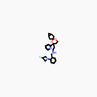 FC1CN(c2ccccc2CNCCC2(c3ccccn3)CCOC3(CC4CC4C3)O2)C1